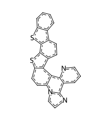 c1ccc2c(c1)sc1c2ccc2c1sc1ccc3c(c4ncccc4c4nccn34)c12